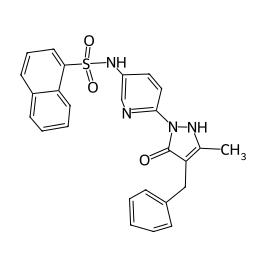 Cc1[nH]n(-c2ccc(NS(=O)(=O)c3cccc4ccccc34)cn2)c(=O)c1Cc1ccccc1